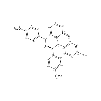 COc1ccc(CO[C@H](c2ccc(OC)cc2)[C@@H](c2ccc(F)cc2)n2ccccc2=O)cc1